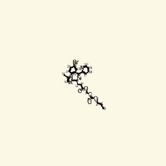 CCCOC(=O)OCOC(=O)CC[C@@H]1N=C(c2ccccn2)c2cc(Br)ccc2-n2c(C)cnc21